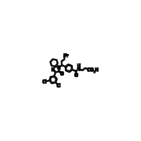 CC(C)CCC(c1ccc(C(=O)NCCC(=O)O)cc1)N1C(=O)C(c2cc(Cl)cc(Cl)c2)=NC12CCCCC2